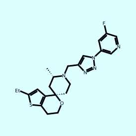 CCc1cc2c(s1)CCO[C@@]21CCN(Cc2cn(-c3cncc(F)c3)nn2)[C@@H](C)C1